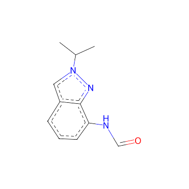 CC(C)n1cc2cccc(NC=O)c2n1